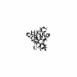 Cc1ccccc1-n1nc(-c2c(-c3ccc(F)cc3Cl)nn3c2NCC(CO)C3)ccc1=O